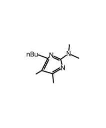 CCCCc1nc(N(C)C)nc(C)c1C